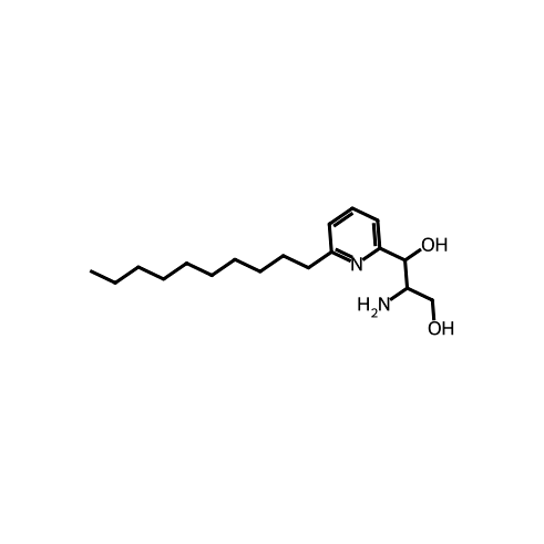 CCCCCCCCCCc1cccc(C(O)C(N)CO)n1